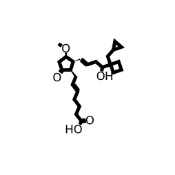 CO[C@@H]1CC(=O)[C@H](CC=CCCCC(=O)O)[C@H]1C=CCC(O)C1(CC2CC2)CCC1